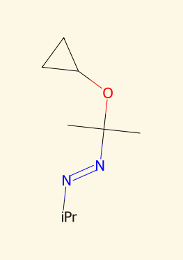 CC(C)/N=N/C(C)(C)OC1CC1